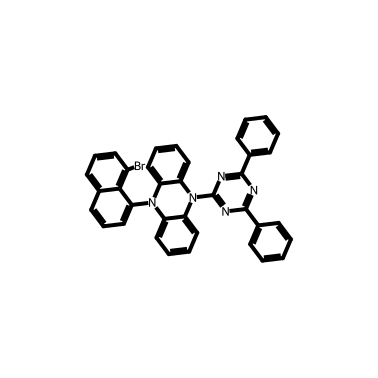 Brc1cccc2cccc(N3c4ccccc4N(c4nc(-c5ccccc5)nc(-c5ccccc5)n4)c4ccccc43)c12